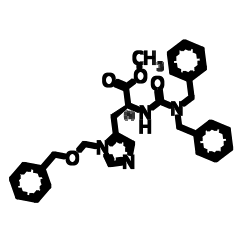 COC(=O)[C@H](Cc1cncn1COCc1ccccc1)NC(=O)N(Cc1ccccc1)Cc1ccccc1